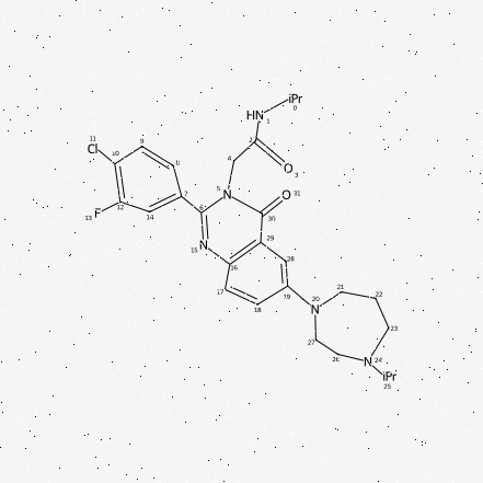 CC(C)NC(=O)Cn1c(-c2ccc(Cl)c(F)c2)nc2ccc(N3CCCN(C(C)C)CC3)cc2c1=O